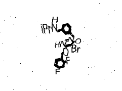 CC(C)NCc1cccc(CN2CNC(OCc3ccc(F)cc3F)=C(Br)C2=O)c1